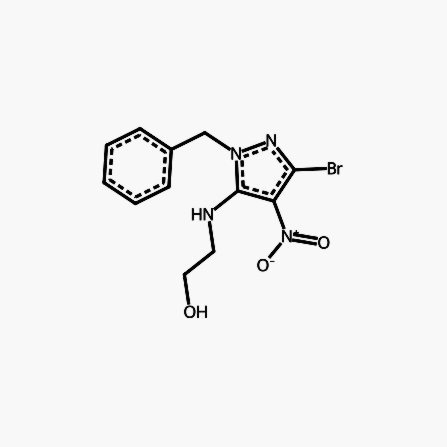 O=[N+]([O-])c1c(Br)nn(Cc2ccccc2)c1NCCO